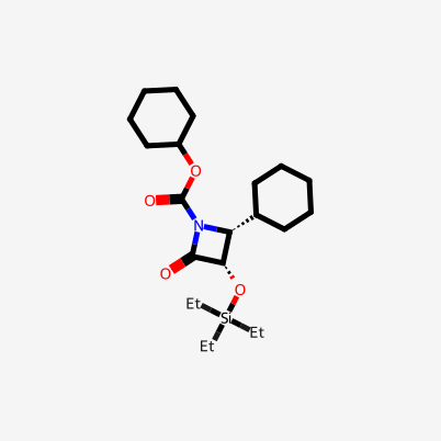 CC[Si](CC)(CC)O[C@@H]1C(=O)N(C(=O)OC2CCCCC2)[C@@H]1C1CCCCC1